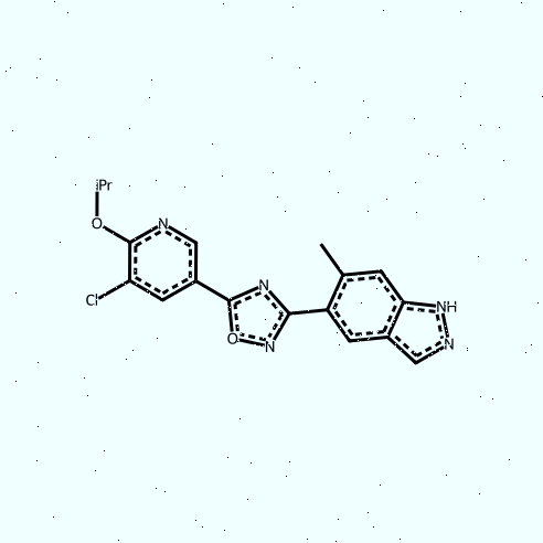 Cc1cc2[nH]ncc2cc1-c1noc(-c2cnc(OC(C)C)c(Cl)c2)n1